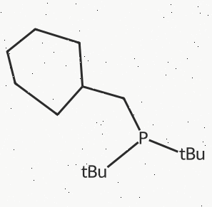 CC(C)(C)P(CC1CCCCC1)C(C)(C)C